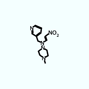 CN1CCN(N(C=C[N+](=O)[O-])Cc2cccnc2)CC1